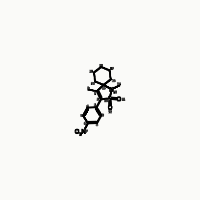 CC1=C(c2ccc([N+](=O)[O-])cc2)S(=O)(=O)N(C)C12CCCCC2